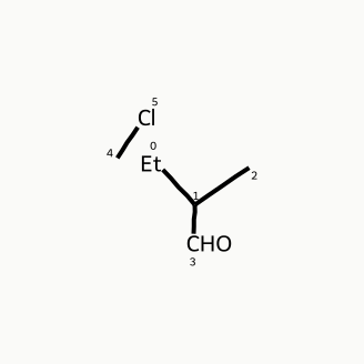 CCC(C)C=O.CCl